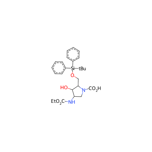 CCOC(=O)NC1CN(C(=O)O)C(CO[Si](c2ccccc2)(c2ccccc2)C(C)(C)C)C1O